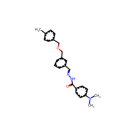 Cc1ccc(COCc2cccc(/C=N/NC(=O)c3ccc(N(C)C)cc3)c2)cc1